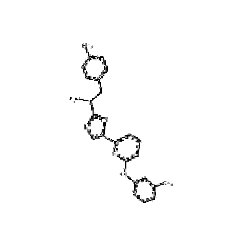 Cc1ccnc(Nc2cccc(-c3cnc([C@@H](N)Cc4ccc(N)cc4)s3)n2)c1